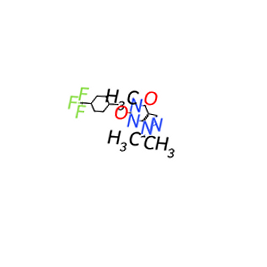 CC(C)n1ncc2c(=O)n(C)c(OCC3CCC(C(F)(F)F)CC3)nc21